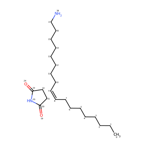 CCCCCCCC/C=C\CCCCCCCCN.O=C1CCC(=O)N1